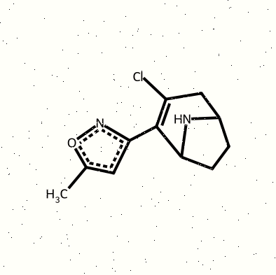 Cc1cc(C2=C(Cl)CC3CCC2N3)no1